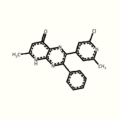 Cc1cc(-c2nc3c(=O)cc(C)[nH]c3nc2-c2ccccc2)cc(Cl)n1